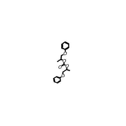 CC(COc1ccccc1)OC(=O)OC(C)COc1ccccc1